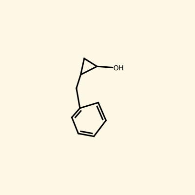 OC1CC1Cc1ccccc1